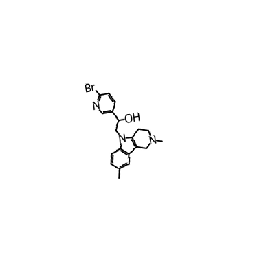 Cc1ccc2c(c1)c1c(n2CC(O)c2ccc(Br)nc2)CCN(C)C1